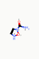 NC(=O)N1C=CNO1